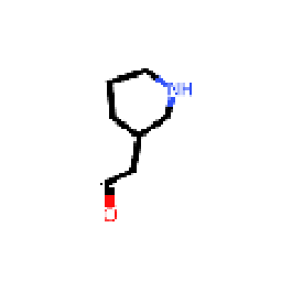 O=[C]CC1CCCNC1